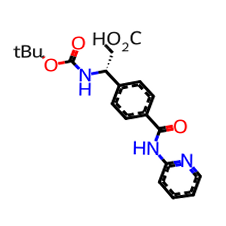 CC(C)(C)OC(=O)N[C@H](CC(=O)O)c1ccc(C(=O)Nc2ccccn2)cc1